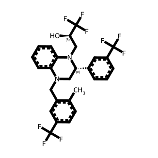 Cc1ccc(C(F)(F)F)cc1CN1C[C@@H](c2cccc(C(F)(F)F)c2)N(C[C@@H](O)C(F)(F)F)c2ccccc21